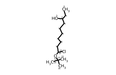 CCC(O)CCCCCCC(Cl)OC(C)(C)C